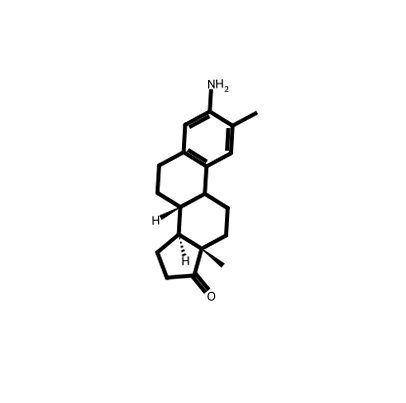 Cc1cc2c(cc1N)CC[C@@H]1C2CC[C@]2(C)C(=O)CC[C@@H]12